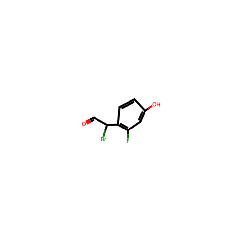 O=CC(Br)c1ccc(O)cc1F